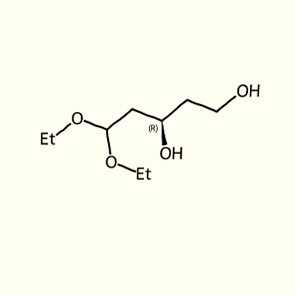 CCOC(C[C@H](O)CCO)OCC